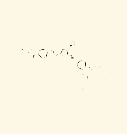 CCCCC(CC)CN(CC(CC)CC)c1ccc(/N=N/c2sc(N=Nc3ccc(C(=O)OCC(C)C)cc3)c(C)c2C#N)cc1